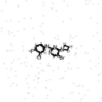 Fc1ccc(Nc2ncc(Br)c(N3CCC3)n2)cc1Cl